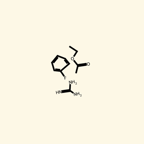 CCOC(C)=O.Fc1ccccc1.N=C(N)N